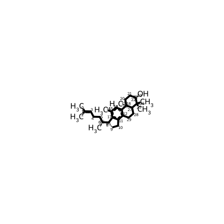 CC(C)=CCC[C@@H](C)[C@H]1CCc2c3c(cc(C)c21)[C@@]1(C)CC[C@H](O)C(C)(C)C1CC3